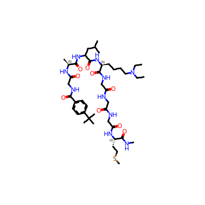 CCN(CC)CCCC[C@H](NC(=O)C(CC(C)C)NC(=O)[C@H](C)NC(=O)CNC(=O)c1ccc(C(C)(C)C)cc1)C(=O)NCC(=O)NCC(=O)NCC(=O)N[C@@H](CCSC)C(=O)NC